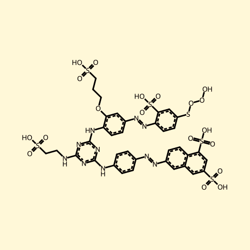 O=S(=O)(O)CCCOc1cc(N=Nc2ccc(SOOO)cc2S(=O)(=O)O)ccc1Nc1nc(NCCS(=O)(=O)O)nc(Nc2ccc(N=Nc3ccc4c(S(=O)(=O)O)cc(S(=O)(=O)O)cc4c3)cc2)n1